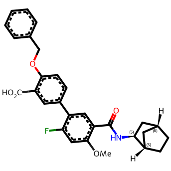 COc1cc(F)c(-c2ccc(OCc3ccccc3)c(C(=O)O)c2)cc1C(=O)N[C@H]1C[C@@H]2CC[C@H]1C2